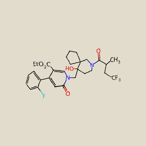 CCOC(=O)c1cn(CC2(O)CCN(C(=O)C(C)CC(F)(F)F)CC23CCCC3)c(=O)cc1-c1ccccc1F